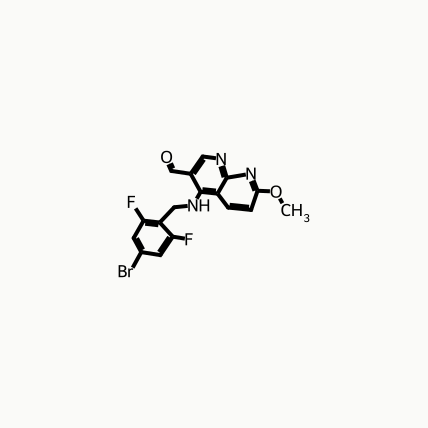 COc1ccc2c(NCc3c(F)cc(Br)cc3F)c(C=O)cnc2n1